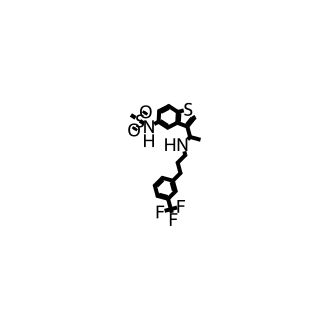 CC(NCCCc1cccc(C(F)(F)F)c1)c1csc2ccc(NS(C)(=O)=O)cc12